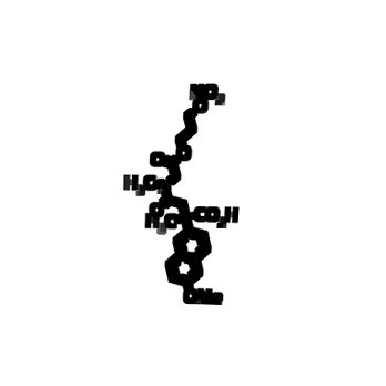 COc1ccc2cc([C@](C)(CC(=O)N(C)CC(=O)OCCCO[N+](=O)[O-])C(=O)O)ccc2c1